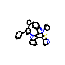 c1ccc(-c2cc(-c3ccccc3)cc(-n3c4ccccc4c4c5c6cccnc6sc5c5c(c6ccccc6n5-c5ccccc5)c43)c2)cc1